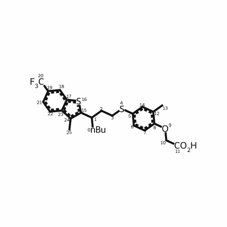 CCCCC(CCSc1ccc(OCC(=O)O)c(C)c1)c1sc2cc(C(F)(F)F)ccc2c1C